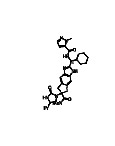 CNC(=O)C1(N2CC(C(C)C)NC2=O)Cc2cc3nc([C@@H](NC(=O)c4ccnn4C)C4CCCCC4)[nH]c3cc2C1